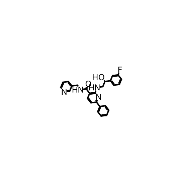 O=C(NCc1cccnc1)c1ccc(-c2ccccc2)nc1NCC(O)c1cccc(F)c1